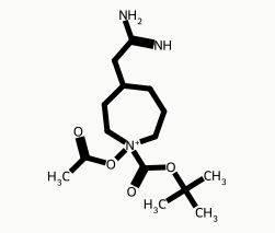 CC(=O)O[N+]1(C(=O)OC(C)(C)C)CCCC(CC(=N)N)CC1